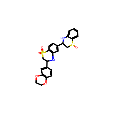 O=S1(=O)CC(c2ccc3c(c2)OCCO3)Nc2cc(C3C[S+]([O-])c4ccccc4N3)ccc21